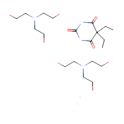 CCC1(CC)C(=O)[N-]C(=O)[N-]C1=O.Cl.OCCN(CCO)CCO.OCCN(CCO)CCO.[Na+].[Na+]